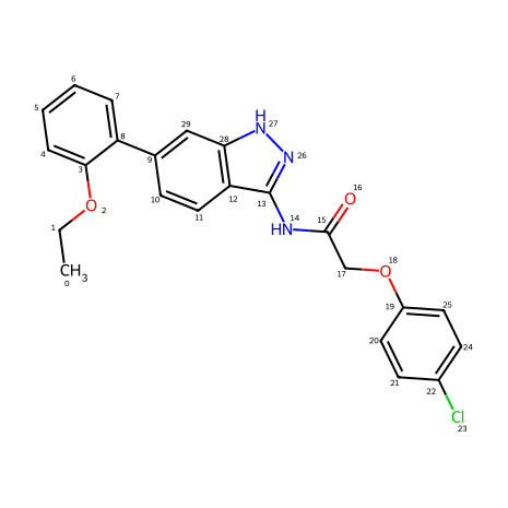 CCOc1ccccc1-c1ccc2c(NC(=O)COc3ccc(Cl)cc3)n[nH]c2c1